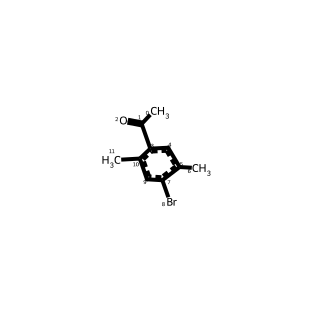 CC(=O)c1cc(C)c(Br)cc1C